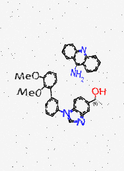 COc1cccc(-c2cccc(-n3cnc4cc([C@@H](C)O)ccc43)c2)c1OC.Nc1c2ccccc2nc2ccccc12